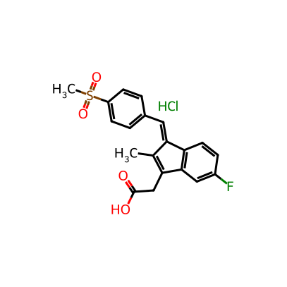 CC1=C(CC(=O)O)c2cc(F)ccc2C1=Cc1ccc(S(C)(=O)=O)cc1.Cl